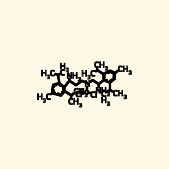 Cc1cc(C(C)C)c(C(N)CC[N](CC(N)c2c(C(C)C)cc(C)cc2C(C)C)[Co]([Cl])[Cl])c(C(C)C)c1